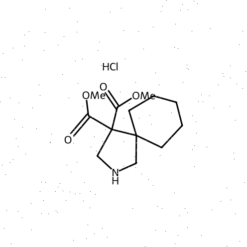 COC(=O)C1(C(=O)OC)CNCC12CCCCC2.Cl